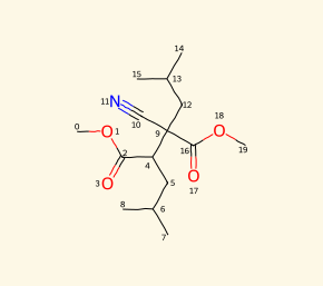 COC(=O)C(CC(C)C)C(C#N)(CC(C)C)C(=O)OC